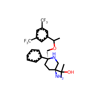 CC(OC[C@@]1(c2ccccc2)CC[C@@](N)(C(C)(C)O)CN1)c1cc(C(F)(F)F)cc(C(F)(F)F)c1